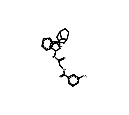 O=C(CNC(=O)c1cccc(C(F)(F)F)c1)NC1CCN(C2C3CCC2CC(O)(c2ccccn2)C3)C1